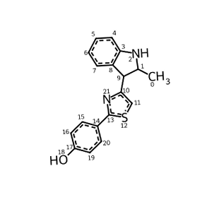 CC1Nc2ccccc2C1c1csc(-c2ccc(O)cc2)n1